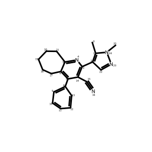 Cc1c(-c2nc3c(c(-c4ccccc4)c2C#N)CCCCC3)cnn1C